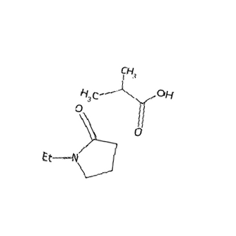 CC(C)C(=O)O.CCN1CCCC1=O